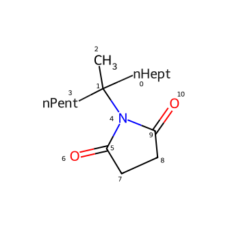 CCCCCCCC(C)(CCCCC)N1C(=O)CCC1=O